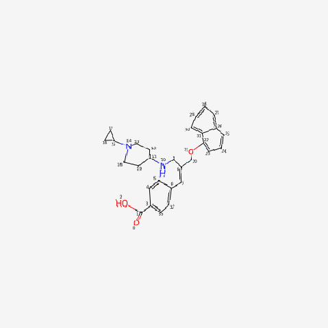 O=C(O)c1ccc(C=C(CNC2CCN(C3CC3)CC2)COc2cccc3ccccc23)cc1